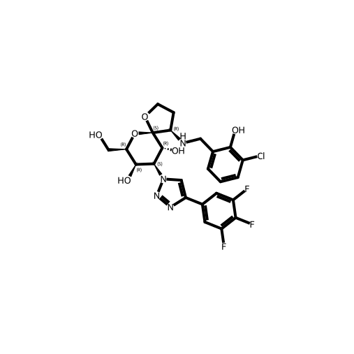 OC[C@H]1O[C@]2(OCC[C@H]2NCc2cccc(Cl)c2O)[C@H](O)[C@@H](n2cc(-c3cc(F)c(F)c(F)c3)nn2)[C@H]1O